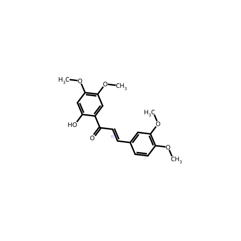 COc1ccc(/C=C/C(=O)c2cc(OC)c(OC)cc2O)cc1OC